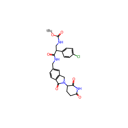 CC(C)(C)OC(=O)NCC(C(=O)NCc1ccc2c(c1)CN(C1CCC(=O)NC1=O)C2=O)c1ccc(Cl)cc1